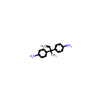 C=CC(C)(c1ccc(N)cc1)c1ccc(N)cc1